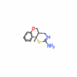 CC12SC(N)=NCC1COc1ccccc12